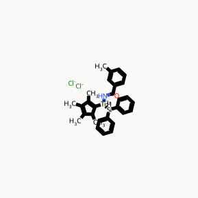 CC1=C(C)C(C)[C]([Ti+2]([NH]C(=O)c2cccc(C)c2)[SiH](c2ccccc2)c2ccccc2)=C1C.[Cl-].[Cl-]